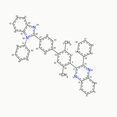 Cc1cc(-c2nc3ccccc3nc2-c2ccccc2)c(C)cc1-c1ccc(-c2nc3ccccc3n2-c2ccccc2)cc1